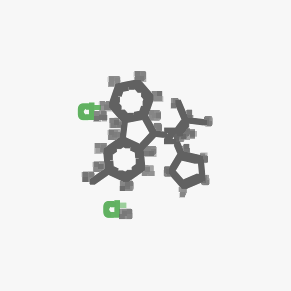 C[C](C)=[Zr+2]([C]1=CC=CC1)[CH]1c2ccccc2-c2cc(C)ccc21.[Cl-].[Cl-]